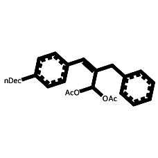 CCCCCCCCCCc1ccc(C=C(Cc2ccccc2)C(OC(C)=O)OC(C)=O)cc1